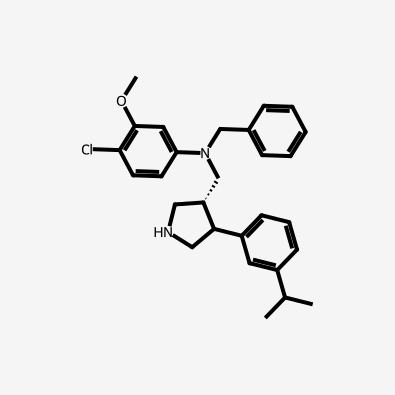 COc1cc(N(Cc2ccccc2)C[C@H]2CNCC2c2cccc(C(C)C)c2)ccc1Cl